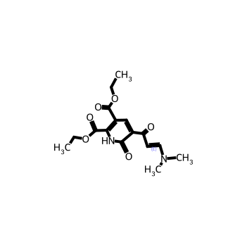 CCOC(=O)c1cc(C(=O)/C=C/N(C)C)c(=O)[nH]c1C(=O)OCC